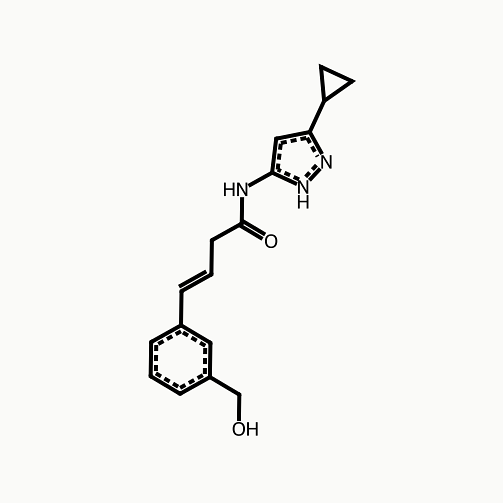 O=C(C/C=C/c1cccc(CO)c1)Nc1cc(C2CC2)n[nH]1